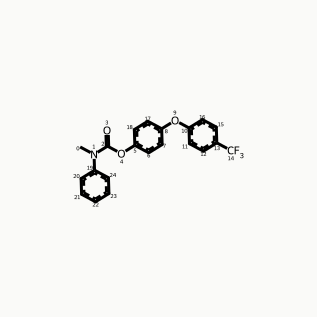 CN(C(=O)Oc1ccc(Oc2ccc(C(F)(F)F)cc2)cc1)c1ccccc1